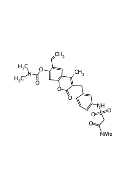 C=Cc1cc2c(C)c(Cc3cccc(NS(=O)(=O)CC(=O)NC)c3)c(=O)oc2cc1OC(=O)N(C)C